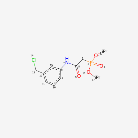 CC(C)OP(=O)(CC(=O)Nc1cccc(CCl)c1)OC(C)C